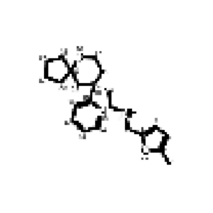 Cc1ccc(CNCC[C@@]2(c3ccccn3)CCOC3(CCCC3)C2)o1